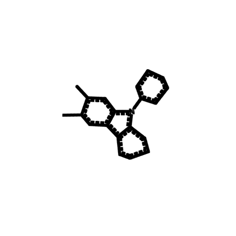 Cc1cc2c3ccccc3n(-c3ccccc3)c2cc1C